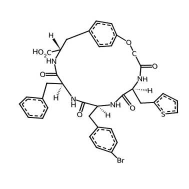 O=C1COc2ccc(cc2)C[C@@H](C(=O)O)NC(=O)[C@H](Cc2ccccc2)NC(=O)[C@H](Cc2ccc(Br)cc2)NC(=O)[C@H](Cc2cccs2)N1